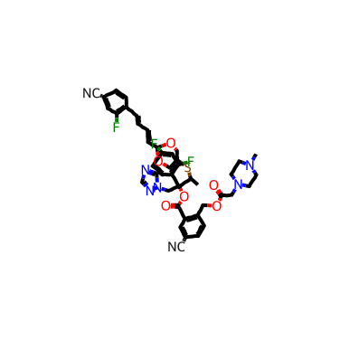 CC(SC1COC(C=CC=Cc2ccc(C#N)cc2F)OC1)C(Cn1cncn1)(OC(=O)c1cc(C#N)ccc1COC(=O)CN1CCN(C)CC1)c1ccc(F)cc1F